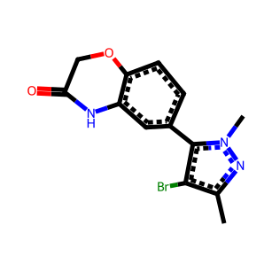 Cc1nn(C)c(-c2ccc3c(c2)NC(=O)CO3)c1Br